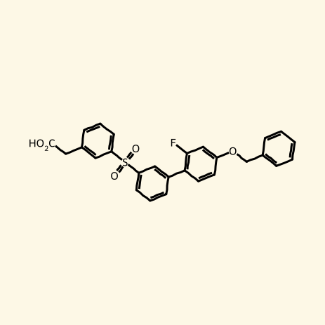 O=C(O)Cc1cccc(S(=O)(=O)c2cccc(-c3ccc(OCc4ccccc4)cc3F)c2)c1